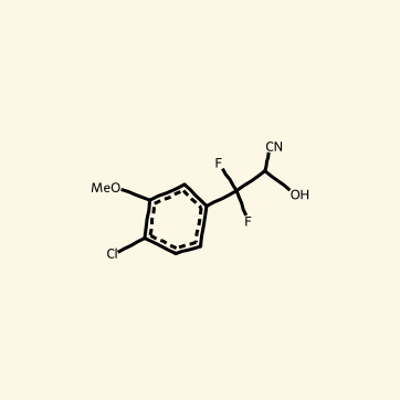 COc1cc(C(F)(F)C(O)C#N)ccc1Cl